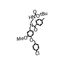 COc1cc(CN(CCNC(=O)OC(C)(C)C)C(=O)c2ccc(C)cc2)ccc1OCc1ccc(Cl)cc1